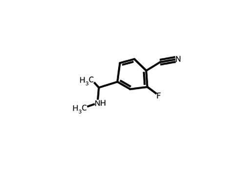 CNC(C)c1ccc(C#N)c(F)c1